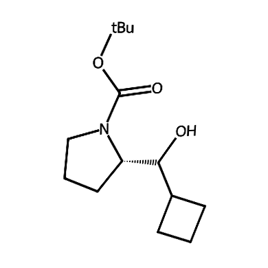 CC(C)(C)OC(=O)N1CCC[C@H]1C(O)C1CCC1